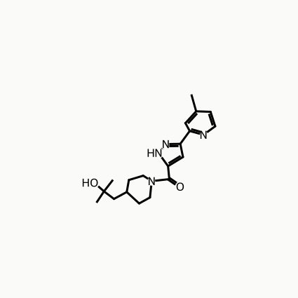 Cc1ccnc(-c2cc(C(=O)N3CCC(CC(C)(C)O)CC3)[nH]n2)c1